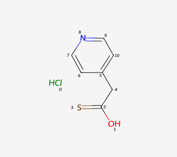 Cl.OC(=S)Cc1ccncc1